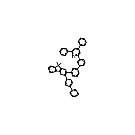 CC1(C)c2ccccc2-c2cc(-c3ccc(-c4ccccc4)cc3)c(-c3cccc(-c4cccc(-c5cc(-c6ccccc6)cc(-c6ccccc6)n5)c4)c3)cc21